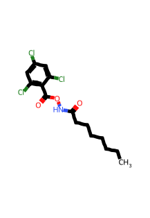 CCCCCCCC(=O)NOC(=O)c1c(Cl)cc(Cl)cc1Cl